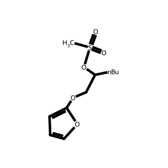 CCCCC(COc1ccco1)OS(C)(=O)=O